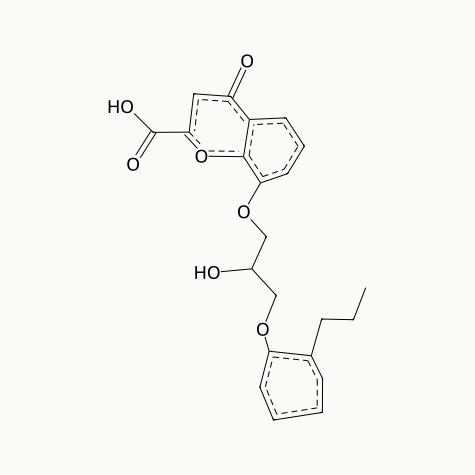 CCCc1ccccc1OCC(O)COc1cccc2c(=O)cc(C(=O)O)oc12